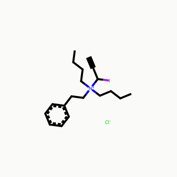 C#CC(I)[N+](CCCC)(CCCC)CCc1ccccc1.[Cl-]